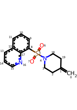 C=C1CCN(S(=O)(=O)c2cccc3cccnc23)CC1